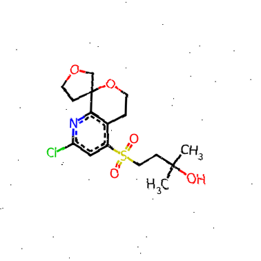 CC(C)(O)CCS(=O)(=O)c1cc(Cl)nc2c1CCOC21CCOC1